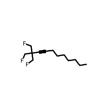 CCCCCCCC#CC(CF)(CF)CF